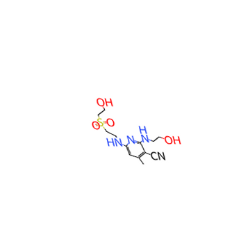 Cc1cc(NCCS(=O)(=O)CCO)nc(NCCO)c1C#N